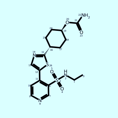 CCNS(=O)(=O)c1cnccc1-c1cnc([C@H]2CC[C@H](OC(N)=O)CC2)s1